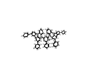 C1=CC(c2ccc3c(c2)c2cc(-c4ccccc4)cc4c2n3-c2ccccc2N4c2nc(-c3ccccc3)nc(N3c4ccccc4-n4c5ccc(-c6ccccc6)cc5c5cc(-c6ccccc6)cc3c54)n2)=CCC1